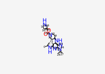 CC(C)Nc1cc(NC2CCN(C(=O)O[C@H]3CCNC3)CC2)c2ncn(C(C)C)c2n1